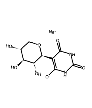 O=c1[nH]c([O-])c([C@@H]2OC[C@@H](O)[C@H](O)[C@H]2O)c(=O)[nH]1.[Na+]